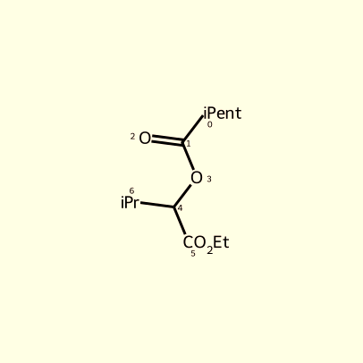 CCCC(C)C(=O)OC(C(=O)OCC)C(C)C